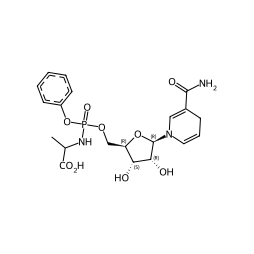 CC(NP(=O)(OC[C@H]1O[C@@H](N2C=CCC(C(N)=O)=C2)[C@H](O)[C@@H]1O)Oc1ccccc1)C(=O)O